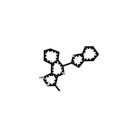 Cc1n[nH]c2c1nc(-c1cc3ccccc3s1)c1ccccc12